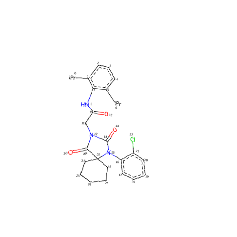 CC(C)c1cccc(C(C)C)c1NC(=O)CN1C(=O)N(c2ccccc2Cl)C2(CCCCC2)C1=O